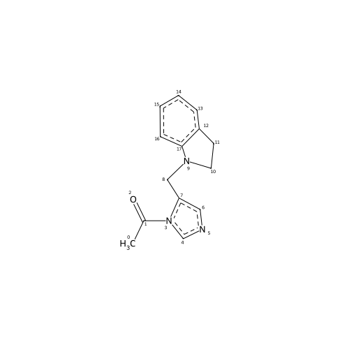 CC(=O)n1cncc1CN1CCc2ccccc21